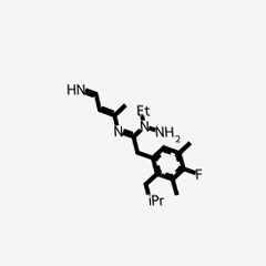 CCN(N)/C(Cc1cc(C)c(F)c(C)c1CC(C)C)=N\C(C)=C\C=N